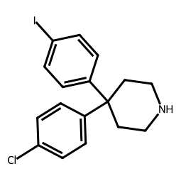 Clc1ccc(C2(c3ccc(I)cc3)CCNCC2)cc1